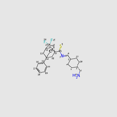 NCC1CCC(/C=N/C(=S)C23CC4CC(c5ccccc5)(CC2C4(F)F)C3)CC1